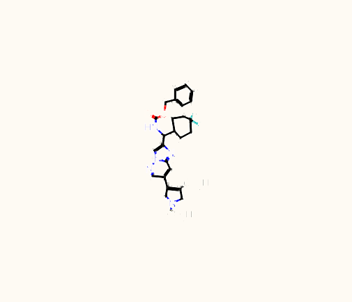 O=C(NC(c1cn2ncc(C3=C(C(=O)O)CN(C(=O)O)C3)cc2n1)C1CCC(F)(F)CC1)OCc1ccccc1